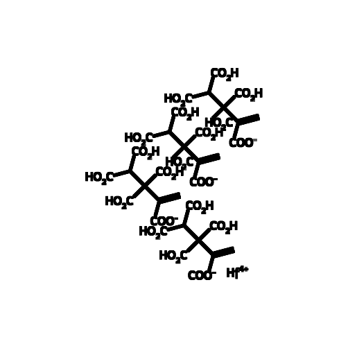 C=C(C(=O)[O-])C(C(=O)O)(C(=O)O)C(C(=O)O)C(=O)O.C=C(C(=O)[O-])C(C(=O)O)(C(=O)O)C(C(=O)O)C(=O)O.C=C(C(=O)[O-])C(C(=O)O)(C(=O)O)C(C(=O)O)C(=O)O.C=C(C(=O)[O-])C(C(=O)O)(C(=O)O)C(C(=O)O)C(=O)O.[Hf+4]